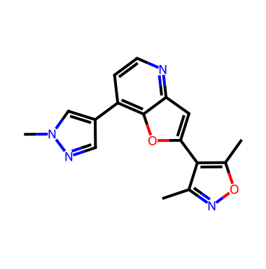 Cc1noc(C)c1-c1cc2nccc(-c3cnn(C)c3)c2o1